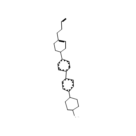 C=CCCC1=CCC(c2ccc(-c3ccc(C4CCC(CCCCC)CC4)cc3)cc2)CC1